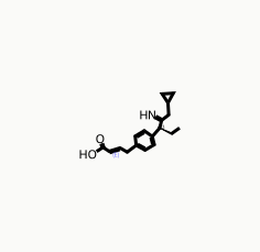 CC[C@H](C(=N)CC1CC1)c1ccc(C/C=C/C(=O)O)cc1